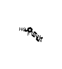 Cc1nccc(N2CCN(c3cccc(CO)c3F)CC2)n1